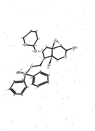 CC(C)(C)[Si](OC[C@@H]1[C@H]2COC(O)C[C@@]2(C)C[C@H]1OC1CCCCO1)(c1ccccc1)c1ccccc1